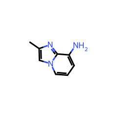 Cc1cn2cccc(N)c2n1